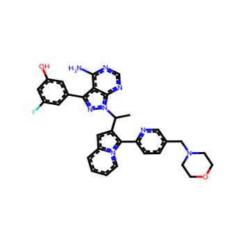 CC(c1cc2ccccn2c1-c1ccc(CN2CCOCC2)cn1)n1nc(-c2cc(O)cc(F)c2)c2c(N)ncnc21